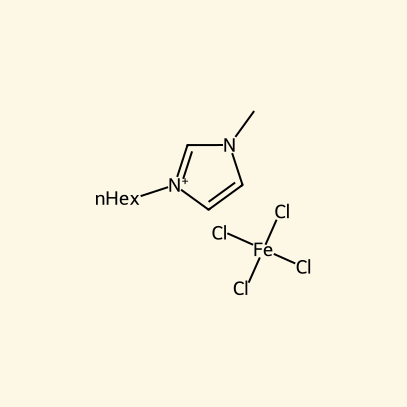 CCCCCC[n+]1ccn(C)c1.[Cl][Fe]([Cl])([Cl])[Cl]